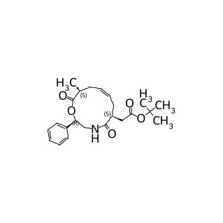 C[C@H]1CC=CC[C@@H](CC(=O)OC(C)(C)C)C(=O)NC[C@@H](c2ccccc2)OC1=O